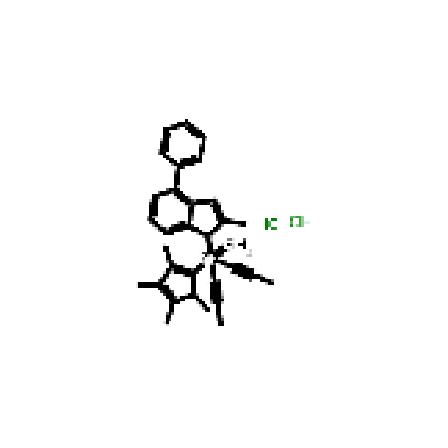 CC#[C][Zr](=[SiH2])([C]#CC)([C]1=C(C)C(C)=C(C)C1C)[CH]1C(C)=Cc2c(-c3ccccc3)cccc21.Cl.Cl